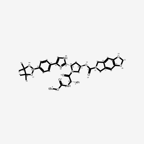 CC(C)[C@H](NC(=O)OC(C)(C)C)C(=O)N1C[C@H](OC(=O)N2Cc3cc4c(cc3C2)OCO4)C[C@H]1c1nc(-c2ccc(B3OC(C)(C)C(C)(C)O3)cc2)c[nH]1